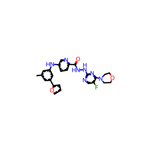 Cc1cc(Nc2ccc(C(=O)NNc3ncc(F)c(N4CCOCC4)n3)nc2)cc(-c2ccco2)c1